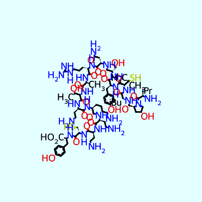 CC[C@H](C)[C@H](NC(=O)[C@@H]1C[C@@H](O)CN1C(=O)[C@@H](N)C(C)C)C(=O)N[C@H](C(=O)N[C@@H](Cc1ccc(O)cc1)C(=O)N[C@@H](CO)C(=O)N[C@@H](CC(N)=O)C(=O)N[C@@H](CCCNC(=N)N)C(=O)N[C@@H](C)C(=O)N[C@H](C(=O)N[C@H](CCN)C(=O)N[C@@H](CCCCN)C(=O)N[C@@H](CCN)C(=O)N[C@@H](CCN)C(=O)N[C@@H](CS)C(=O)N[C@@H](Cc1ccc(O)cc1)C(=O)O)[C@@H](C)O)C(C)(C)S